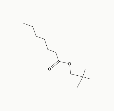 CCCCCCC(=O)OCC(C)(C)C